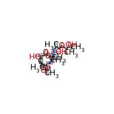 CCC(O)C(C)C1OC1C(O)C(C)/C=C/C=C(\C)C1OC(=O)CC(O)CCC(C)C(OC(C)=O)/C=C/C1C